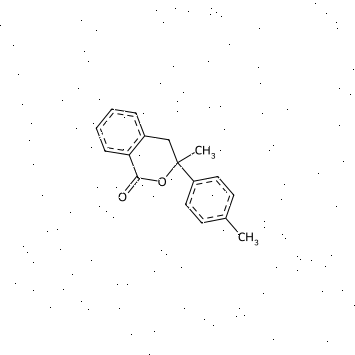 Cc1ccc(C2(C)Cc3ccccc3C(=O)O2)cc1